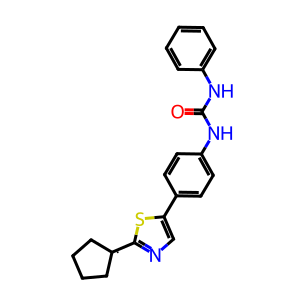 O=C(Nc1ccccc1)Nc1ccc(-c2cnc([C]3CCCC3)s2)cc1